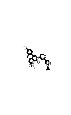 Cc1ccc2c(-c3ccc(Cl)cc3F)cn(C3=CC(c4cnn(C5CC5)c4)OCC3)c(=O)c2n1